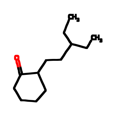 CCC(CC)CCC1CCCCC1=O